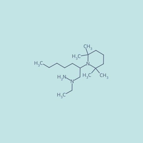 CCCCCC(CN(N)CC)N1C(C)(C)CCCC1(C)C